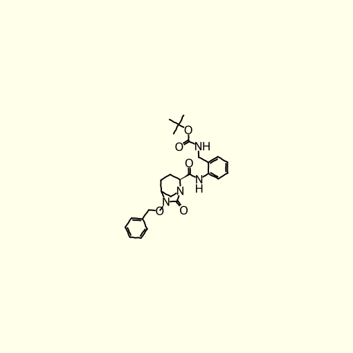 CC(C)(C)OC(=O)NCc1ccccc1NC(=O)[C@@H]1CCC2CN1C(=O)N2OCc1ccccc1